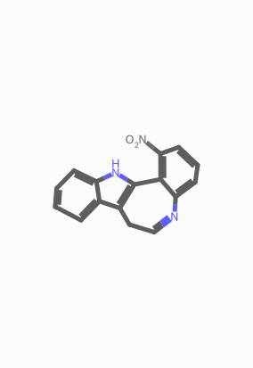 O=[N+]([O-])c1cccc2c1-c1[nH]c3ccccc3c1CC=N2